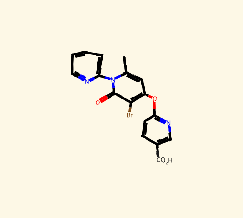 Cc1cc(Oc2ccc(C(=O)O)cn2)c(Br)c(=O)n1-c1ccccn1